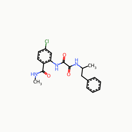 CNC(=O)c1ccc(Cl)cc1NC(=O)C(=O)NC(C)Cc1ccccc1